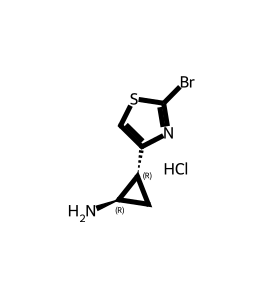 Cl.N[C@@H]1C[C@H]1c1csc(Br)n1